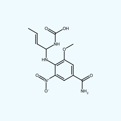 CC=CC(NC(=O)O)Nc1c(OC)cc(C(N)=O)cc1[N+](=O)[O-]